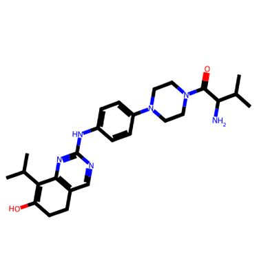 CC(C)C1=C(O)CCc2cnc(Nc3ccc(N4CCN(C(=O)C(N)C(C)C)CC4)cc3)nc21